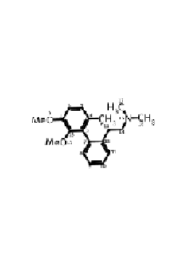 COc1ccc(C)c(-c2ccccc2CCN(C)C)c1OC